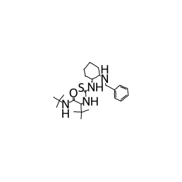 CC(C)(C)NC(=O)[C@@H](NC(=S)N[C@H]1CCCC[C@@H]1NCc1ccccc1)C(C)(C)C